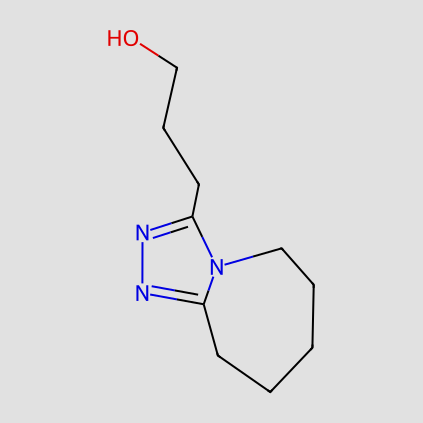 OCCCc1nnc2n1CCCCC2